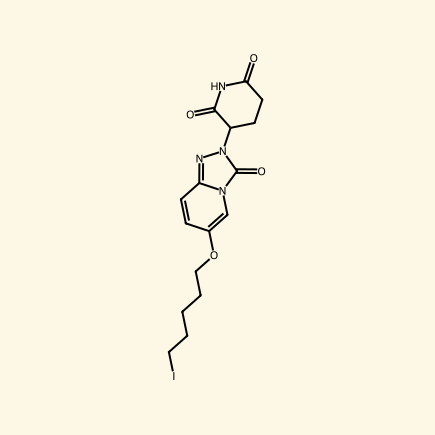 O=C1CCC(n2nc3ccc(OCCCCCI)cn3c2=O)C(=O)N1